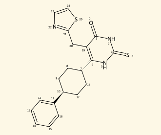 O=c1[nH]c(=S)[nH]c([C@H]2CC[C@H](c3ccccc3)CC2)c1Cc1nccs1